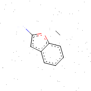 CCOC(C)=O.Nc1cc2ccccc2o1